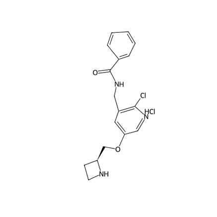 Cl.O=C(NCc1cc(OC[C@@H]2CCN2)cnc1Cl)c1ccccc1